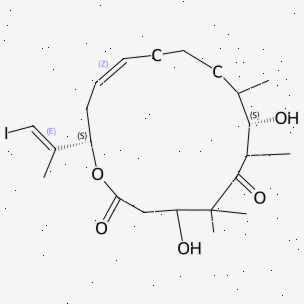 C/C(=C\I)[C@@H]1C/C=C\CCCC(C)[C@H](O)C(C)C(=O)C(C)(C)C(O)CC(=O)O1